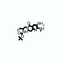 CNc1nc2c(cc1N)C(=O)N(CC(CF)NC(=O)OC(C)(C)C)CC2